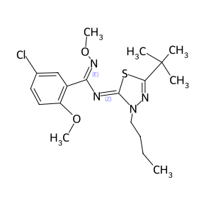 CCCCn1nc(C(C)(C)C)s/c1=N\C(=N\OC)c1cc(Cl)ccc1OC